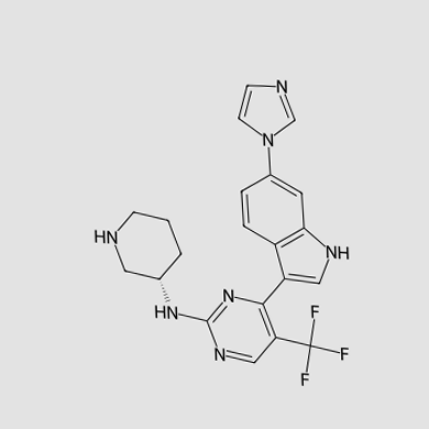 FC(F)(F)c1cnc(N[C@H]2CCCNC2)nc1-c1c[nH]c2cc(-n3ccnc3)ccc12